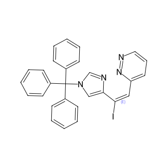 I/C(=C/c1cccnn1)c1cn(C(c2ccccc2)(c2ccccc2)c2ccccc2)cn1